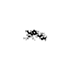 C[C@@]1(c2cc(NC(=O)c3ncc(C(F)F)nc3N)ccc2F)C=C(CF)OC(N)=N1